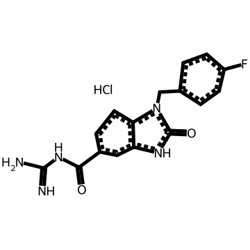 Cl.N=C(N)NC(=O)c1ccc2c(c1)[nH]c(=O)n2Cc1ccc(F)cc1